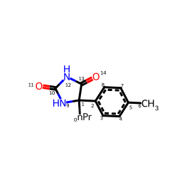 CCCC1(c2ccc(C)cc2)NC(=O)NC1=O